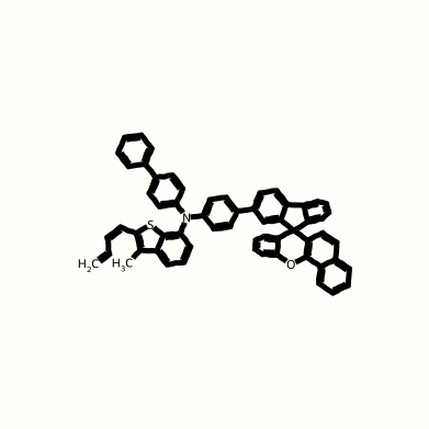 C=C/C=C\c1sc2c(N(c3ccc(-c4ccccc4)cc3)c3ccc(-c4ccc5c(c4)C4(c6ccccc6Oc6c4ccc4ccccc64)c4ccccc4-5)cc3)cccc2c1C